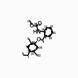 CCc1cc(C)c(OCc2ccccc2NC(=O)OC)cc1C